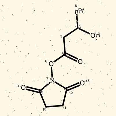 CCCC(O)CC(=O)ON1C(=O)CCC1=O